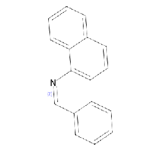 C(=N/c1cccc2ccccc12)/c1ccccc1